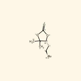 CC[C@H](C)CC[C@H]1OC(=O)OC1(C)C